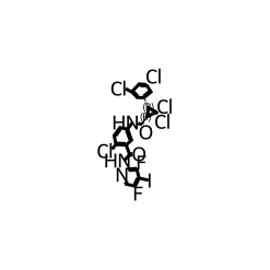 O=C(Nc1ncc(F)c(I)c1F)c1cc(NC(=O)[C@H]2[C@H](c3cc(Cl)cc(Cl)c3)C2(Cl)Cl)ccc1Cl